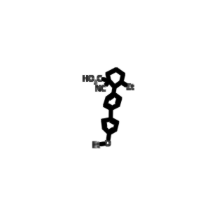 CCOc1ccc(-c2ccc(C3C(CC)CCCC3(C#N)C(=O)O)cc2)cc1